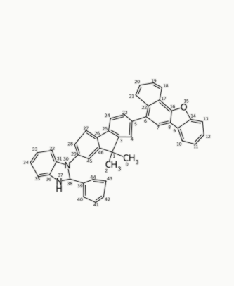 CC1(C)c2cc(-c3cc4c5ccccc5oc4c4ccccc34)ccc2-c2ccc(N3c4ccccc4NC3c3ccccc3)cc21